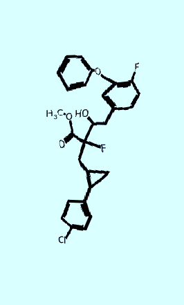 COC(=O)C(F)(CC1CC1c1ccc(Cl)cc1)C(O)Cc1ccc(F)c(Oc2ccccc2)c1